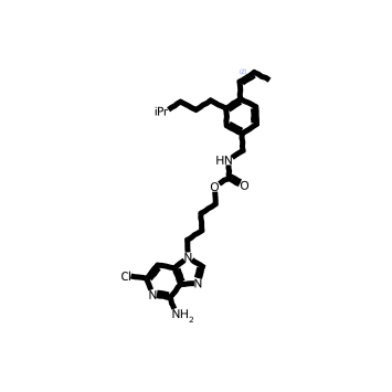 C/C=C\c1ccc(CNC(=O)OCCCCn2cnc3c(N)nc(Cl)cc32)cc1CCCC(C)C